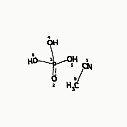 CC#N.O=P(O)(O)O